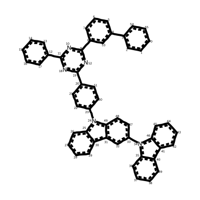 c1ccc(-c2cccc(-c3nc(-c4ccccc4)nc(-c4ccc(-n5c6ccccc6c6cc(-n7c8ccccc8c8ccccc87)ccc65)cc4)n3)c2)cc1